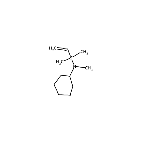 C=CS(C)(C)N(C)C1CCCCC1